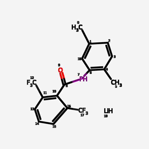 Cc1ccc(C)c(PC(=O)c2c(C(F)(F)F)cccc2C(F)(F)F)c1.[LiH]